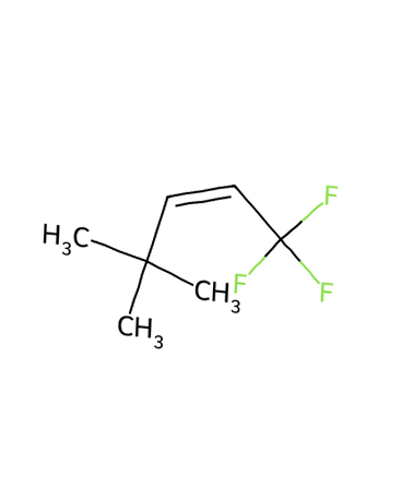 CC(C)(C)/C=C\C(F)(F)F